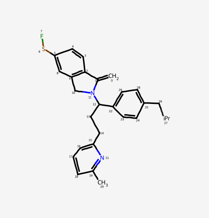 C=C1c2ccc(SF)cc2CN1C(CCc1cccc(C)n1)c1ccc(CC(C)C)cc1